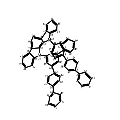 c1ccc(-c2ccc(-c3ccc(-n4c5ccccc5c5ccc6c7ccccc7n(-c7cc(-c8ccc(-c9ccccc9)cc8)cc(-c8ccccc8)n7)c6c54)cc3)cc2)cc1